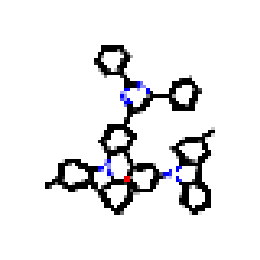 Cc1ccc2c(c1)c1ccccc1n2-c1cccc(-c2cc(-c3cc(-c4ccccc4)nc(-c4ccccc4)n3)ccc2-n2c3ccccc3c3cc(C)ccc32)c1